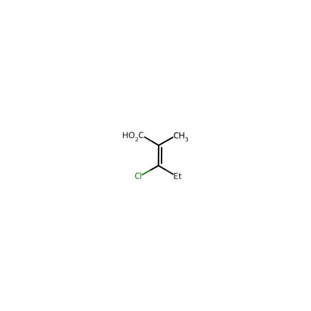 CCC(Cl)=C(C)C(=O)O